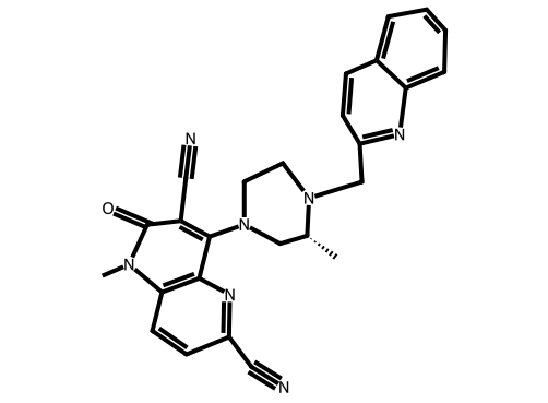 C[C@@H]1CN(c2c(C#N)c(=O)n(C)c3ccc(C#N)nc23)CCN1Cc1ccc2ccccc2n1